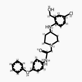 O=C(CN1CCC(Nc2ccc(Cl)cc2CO)CC1)Nc1ccc(Oc2ccccc2)cc1